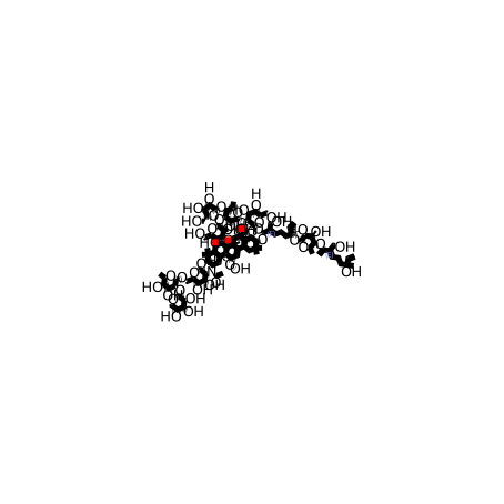 C=CC(C)(O)CC/C=C(\CO)C(=C)O[C@@H]1C(C)O[C@@H](O[C@](C)(C=C)CC/C=C(\CO)C(=O)O[C@H]2C[C@@]3(C(=O)O[C@@H]4OC(CO)[C@@H](O)[C@H](O)C4O[C@@H]4OC(C)[C@H](O[C@@H]5O[C@@H](CO)[C@H](O)[C@@H]5O)C(O[C@@H]5OC(CO)[C@@H](O)[C@H](O)C5O)[C@@H]4O)C(CC2(C)C)C2=C[C@@H](OO)C4[C@@]5(C)CC[C@H](O[C@@H]6OC(CO[C@@H]7OC(C)[C@H](O)[C@H](O)C7O[C@@H]7OC[C@@H](O)[C@H](O)C7O)[C@@H](O)[C@H](O)C6NC(C)=O)C(C)(C)C5CC[C@@]4(C)[C@]2(C)C[C@H]3O)C(O)[C@H]1O